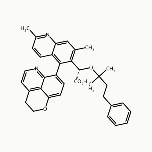 Cc1ccc2c(-c3ccc4c5c(ccnc35)CCO4)c([C@H](OC(C)(C)CCc3ccccc3)C(=O)O)c(C)cc2n1